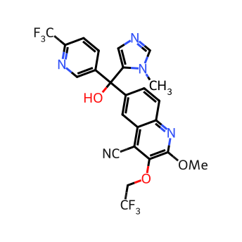 COc1nc2ccc(C(O)(c3ccc(C(F)(F)F)nc3)c3cncn3C)cc2c(C#N)c1OCC(F)(F)F